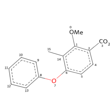 COc1c(C(=O)O)ccc(Oc2ccccc2)c1C